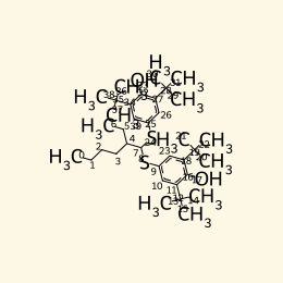 CCCCC(CC)C(Sc1cc(C(C)(C)C)c(O)c(C(C)(C)C)c1)Sc1cc(C(C)(C)C)c(O)c(C(C)(C)C)c1